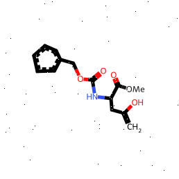 C=C(O)CC(NC(=O)OCc1ccccc1)C(=O)OC